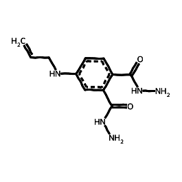 C=CCNc1ccc(C(=O)NN)c(C(=O)NN)c1